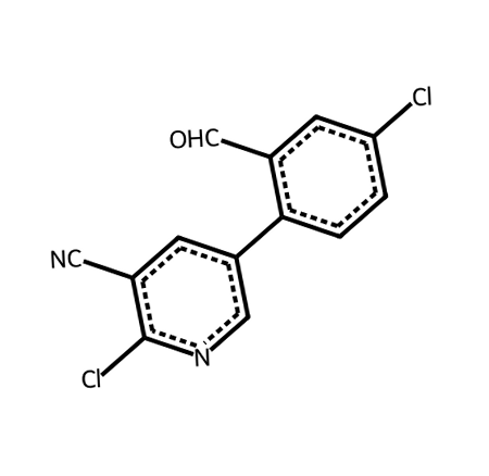 N#Cc1cc(-c2ccc(Cl)cc2C=O)cnc1Cl